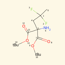 CC(F)(F)CC(N)(C(=O)OC(C)(C)C)C(=O)OC(C)(C)C